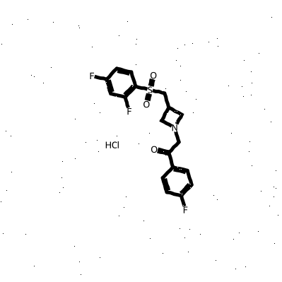 Cl.O=C(CN1CC(CS(=O)(=O)c2ccc(F)cc2F)C1)c1ccc(F)cc1